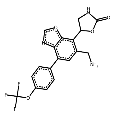 NCc1cc(-c2ccc(OC(F)(F)F)cc2)c2ncoc2c1C1CNC(=O)O1